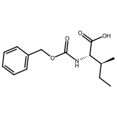 CC[C@H](C)[C@H](NC(=O)OCc1ccccc1)C(=O)O